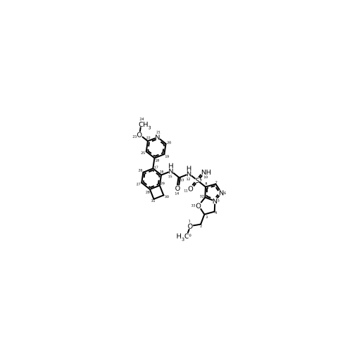 COCC1Cn2ncc(S(=N)(=O)NC(=O)Nc3c(-c4ccnc(OC)c4)ccc4c3CC4)c2O1